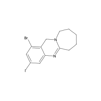 Brc1cc(I)cc2c1CN1CCCCCC1=N2